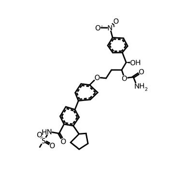 CS(=O)(=O)NC(=O)c1ccc(-c2ccc(OCCC(OC(N)=O)[C@H](O)c3ccc([N+](=O)[O-])cc3)cc2)cc1C1CCCC1